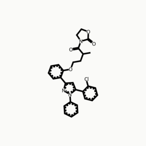 CC(CCOc1ccccc1-c1cc(-c2ccccc2Cl)n(-c2ccccc2)n1)C(=O)N1CCOC1=O